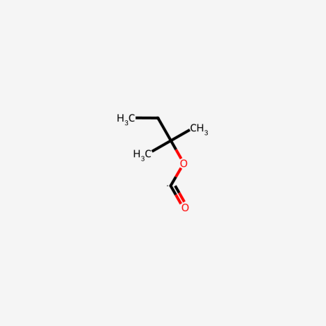 CCC(C)(C)O[C]=O